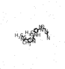 Cc1nc(C)c(-c2ccc3ncc(C(=O)Nc4cc(-c5noc(CN6CC(C#N)C6)n5)ccc4C)n3c2)s1